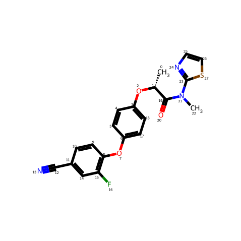 C[C@@H](Oc1ccc(Oc2ccc(C#N)cc2F)cc1)C(=O)N(C)c1nccs1